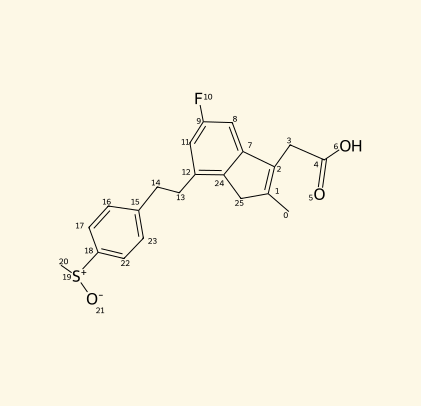 CC1=C(CC(=O)O)c2cc(F)cc(CCc3ccc([S+](C)[O-])cc3)c2C1